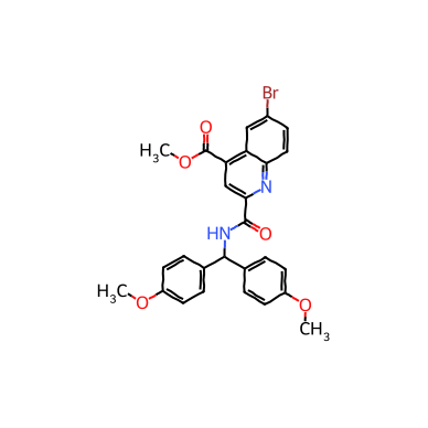 COC(=O)c1cc(C(=O)NC(c2ccc(OC)cc2)c2ccc(OC)cc2)nc2ccc(Br)cc12